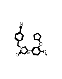 COc1ccc([C@@H]2CC(=O)N(Cc3ccc(C#N)cc3)C2)cc1OC1CCCC1